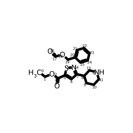 CCOC(=O)c1cc(C2CCCNC2)ns1.O=COCc1ccccc1